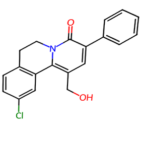 O=c1c(-c2ccccc2)cc(CO)c2n1CCc1ccc(Cl)cc1-2